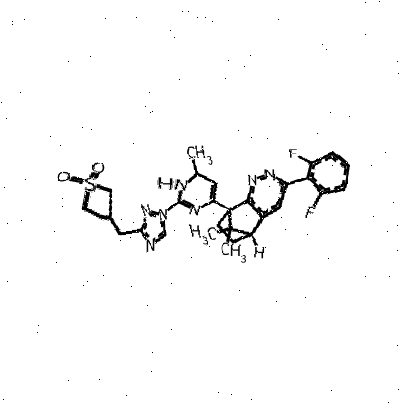 CC1C=C([C@@]23CC[C@@H](c4cc(-c5c(F)cccc5F)nnc42)C3(C)C)N=C(n2cnc(CC3CS(=O)(=O)C3)n2)N1